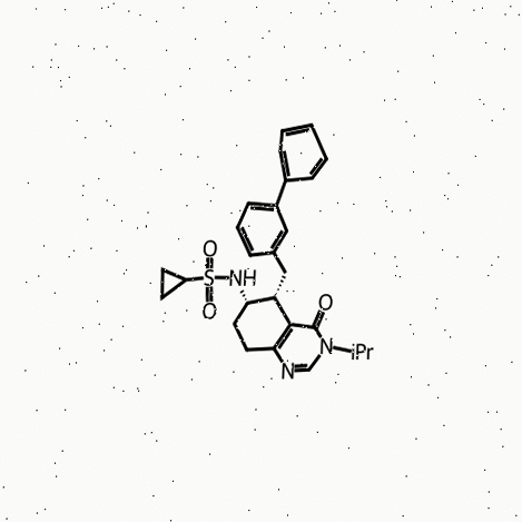 CC(C)n1cnc2c(c1=O)[C@@H](Cc1cccc(-c3ccccc3)c1)[C@@H](NS(=O)(=O)C1CC1)CC2